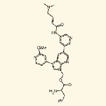 COc1cc(-c2cn(COC(=O)C(N)CC(C)C)c3ncc(-c4cncc(NC(=O)/C=C/CN(C)C)c4)cc23)ccn1